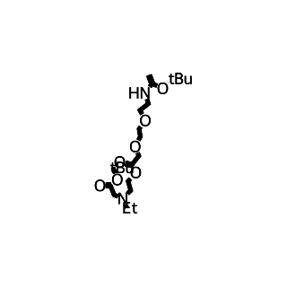 C=C(NCCOCCOCC(=O)OCCN(CC)CC(=O)OC(C)(C)C)OC(C)(C)C